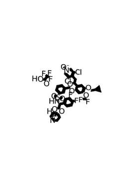 O=C(O)C(F)(F)F.O=C(OC(Cc1c(Cl)c[n+]([O-])cc1Cl)c1ccc(OC(F)F)c(OCC2CC2)c1)c1cccc(S(=O)(=O)NC(C(=O)O[C@H]2CN3CCC2CC3)c2ccc(F)c(F)c2)c1